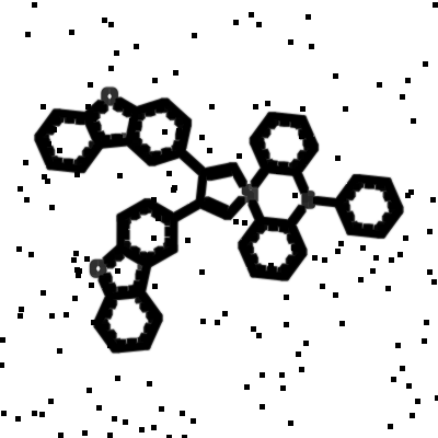 C1=C(c2ccc3oc4ccccc4c3c2)C(c2ccc3oc4ccccc4c3c2)=C[Si]12c1ccccc1B(c1ccccc1)c1ccccc12